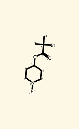 CCN1CCC(OC(=O)C(C)(C)CC)CC1